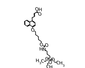 CCO[Si](CCCNC(=O)OCCCCCOc1ccc(CC=CC(=O)O)c2ccccc12)(OCC)OCC